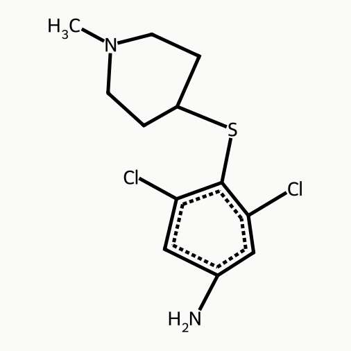 CN1CCC(Sc2c(Cl)cc(N)cc2Cl)CC1